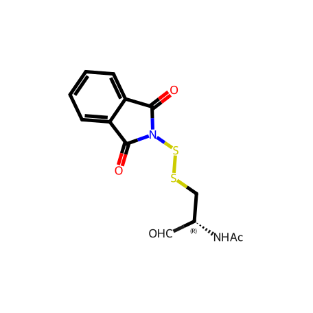 CC(=O)N[C@H](C=O)CSSN1C(=O)c2ccccc2C1=O